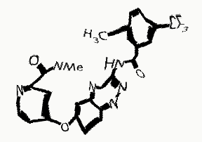 CNC(=O)c1cc(Oc2ccc3nnc(NC(=O)c4cc(C(F)(F)F)ccc4C)nc3c2)ccn1